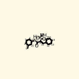 Cc1cccc(NC(=O)/C(=C/c2ccccc2)S(N)(=O)=O)c1